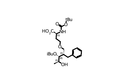 CC(C)CO[C@H]([C@H](COCC[C@H](NC(=O)OC(C)(C)C)C(=O)O)Cc1ccccc1)[C@H](C)O